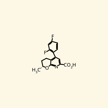 C[C@@H]1CCc2c(-c3ccc(F)cc3F)cc(C(=O)O)nc2O1